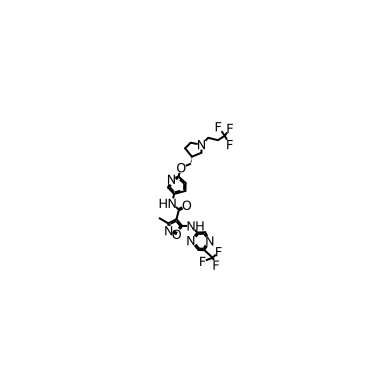 Cc1noc(Nc2cnc(C(F)(F)F)cn2)c1C(=O)Nc1ccc(OC[C@@H]2CCN(CCC(F)(F)F)C2)nc1